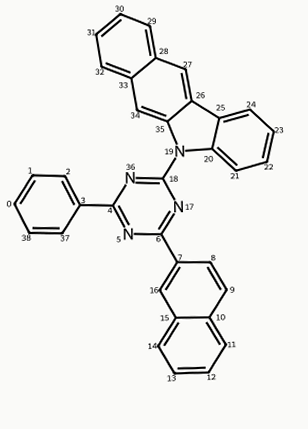 c1ccc(-c2nc(-c3ccc4ccccc4c3)nc(-n3c4ccccc4c4cc5ccccc5cc43)n2)cc1